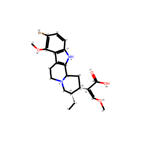 CC[C@@H]1CN2CCc3c([nH]c4ccc(Br)c(OC)c34)C2C[C@@H]1C(=COC)C(=O)O